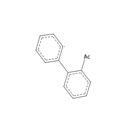 CC(=O)c1ccccc1-c1[c]cccc1